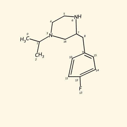 CC(C)N1CCNC(Cc2ccc(F)cc2)C1